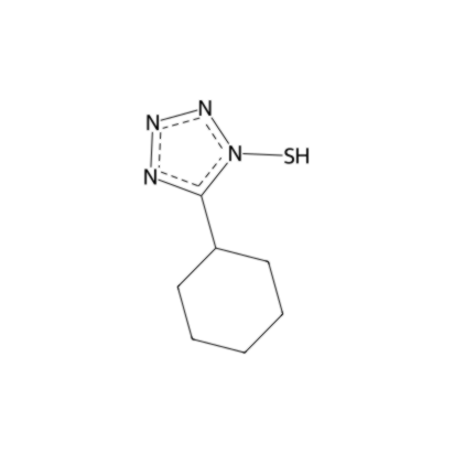 Sn1nnnc1C1CCCCC1